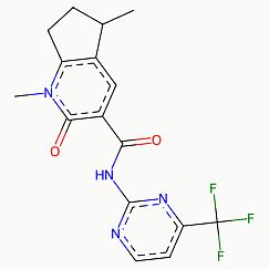 CC1CCc2c1cc(C(=O)Nc1nccc(C(F)(F)F)n1)c(=O)n2C